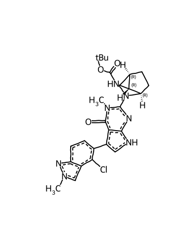 Cn1cc2c(Cl)c(-c3c[nH]c4nc(N5C[C@H]6CC[C@@H]5[C@@H]6NC(=O)OC(C)(C)C)n(C)c(=O)c34)ccc2n1